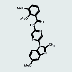 COc1ccc2c(c1)nc(C)n2-c1cnc(NC(=O)c2cccc(OC)c2OC)cn1